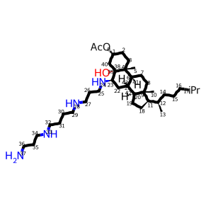 CC(=O)O[C@H]1CC[C@]2(C)[C@H]3CC[C@]4(C)[C@@H]([C@H](C)CCCC(C)C)CC[C@H]4[C@@H]3C[C@@H](NCCCNCCCCNCCCN)[C@@]2(O)C1